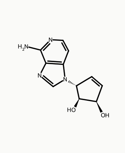 Nc1nccc2c1ncn2[C@@H]1C=C[C@@H](O)[C@H]1O